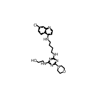 OCCNc1nc(NCCCCNc2ccnc3cc(Cl)ccc23)nc(N2CCOCC2)n1